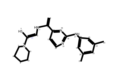 C=C(N/C=C(\S)N1CCCCC1)c1ccnc(Nc2cc(C)cc(C)c2)n1